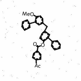 COc1ccc(Cc2ccc(OC(=O)c3ccc(C(C)=O)cc3)c(-c3ccccc3)c2)cc1-c1ccccc1